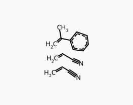 C=C(C)c1ccccc1.C=CC#N.C=CC#N